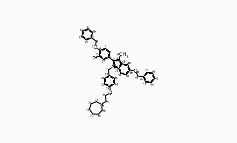 Cc1c(-c2ccc(OCc3ccccc3)c(F)c2)n(Cc2ccc(OCCN3CCCCCC3)cc2)c2ccc(OCc3ccccc3)cc12